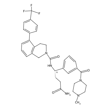 CN1CCN(C(=O)c2cccc([C@H](CCC(N)=O)NC(=O)N3CCc4c(cccc4-c4ccc(C(F)(F)F)cc4)C3)c2)CC1